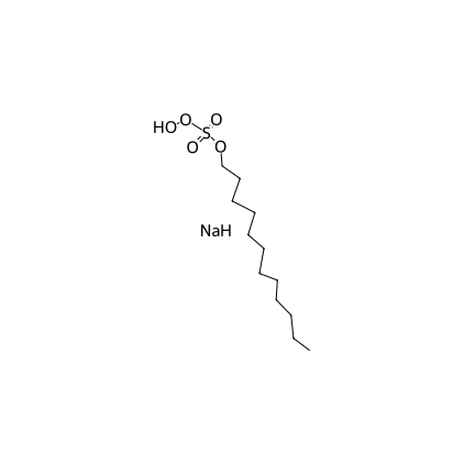 CCCCCCCCCCCCOS(=O)(=O)OO.[NaH]